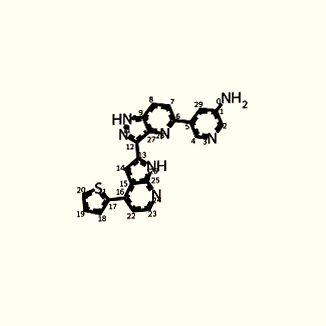 Nc1cncc(-c2ccc3[nH]nc(-c4cc5c(-c6cccs6)ccnc5[nH]4)c3n2)c1